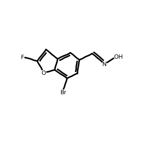 ON=Cc1cc(Br)c2oc(F)cc2c1